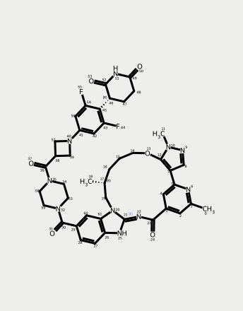 Cc1cc2cc(n1)-c1cnn(C)c1OCCC[C@@H](C)CN1/C(=N/C2=O)Nc2ccc(C(=O)N3CCN(C(=O)C4CN(c5cc(F)c([C@H]6CCC(=O)NC6=O)c(F)c5)C4)CC3)cc21